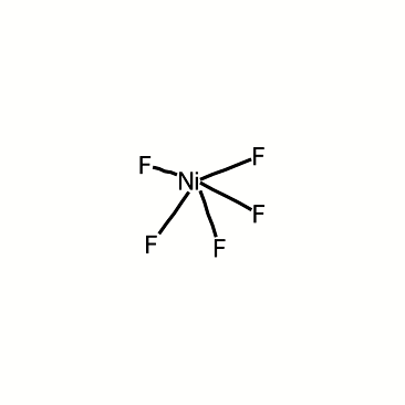 [F][Ni]([F])([F])([F])[F]